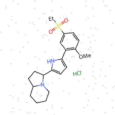 CCS(=O)(=O)c1ccc(OC)c(-c2ccc(C3CCC4CCCCN43)[nH]2)c1.Cl